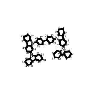 C1=Cc2c(c3ccccc3n2-c2ccc3c4ccccc4n(-c4ccc(-c5ccc(-n6c7ccccc7c7ccc(-n8c9ccccc9c9ccccc98)cc76)cc5)cc4)c3c2)CC1